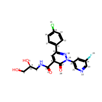 O=C(NC[C@H](O)CO)c1cc(-c2ccc(Cl)cc2)nn(-c2cncc(F)c2)c1=O